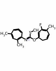 CS/C(=N\C1=C(C)C=C(C)C=C=C1)OC1=CC(F)=C(C)C=CC1